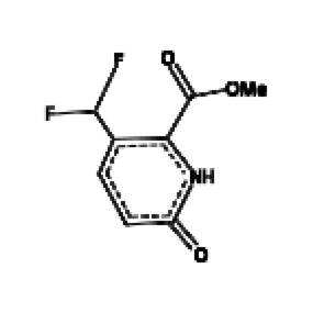 COC(=O)c1[nH]c(=O)ccc1C(F)F